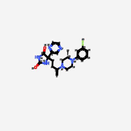 C=C(CCC1(c2cnccn2)NC(=O)NC1=O)N1CCN(c2cccc(F)c2)[C@@H](C)C1